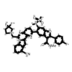 CNC(=O)c1c(-c2ccc(F)cc2)oc2cc(N(C)S(C)(=O)=O)c(-c3ccc4nc(CN5CCC(F)(F)C5)n5c6cccc(C#N)c6cc5c4n3)cc12